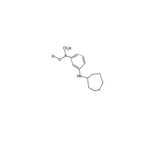 CCOC(=O)N(OCC)c1cccc(NC2CCCCCC2)c1